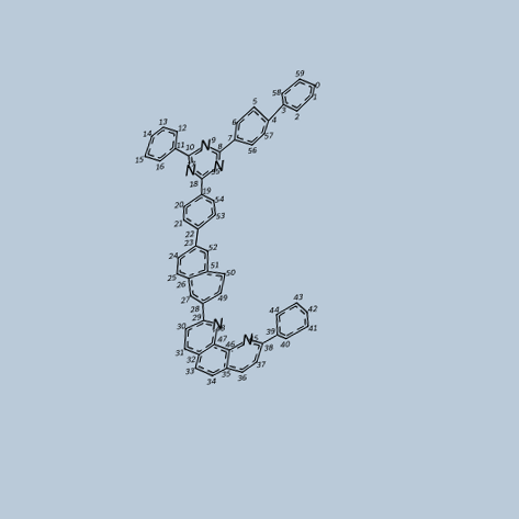 c1ccc(-c2ccc(-c3nc(-c4ccccc4)nc(-c4ccc(-c5ccc6cc(-c7ccc8ccc9ccc(-c%10ccccc%10)nc9c8n7)ccc6c5)cc4)n3)cc2)cc1